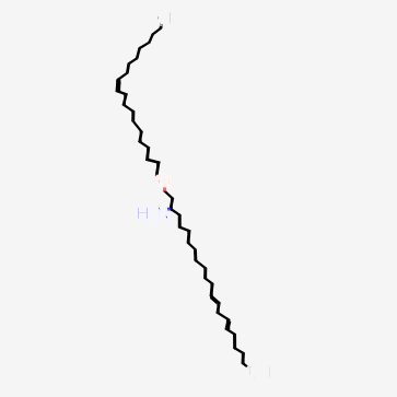 CCCCCC=CCC=CCCCCCCCCCC(N)CCOCCCCCCCCCC/C=C\CCCCCCCC